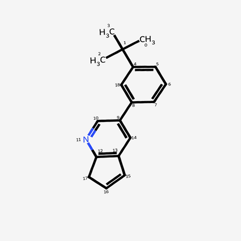 CC(C)(C)c1cccc(-c2cnc3c(c2)C=CC3)c1